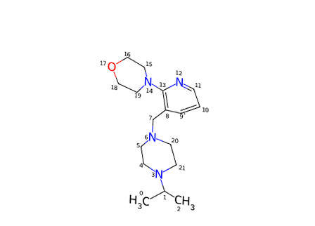 CC(C)N1CCN(Cc2[c]ccnc2N2CCOCC2)CC1